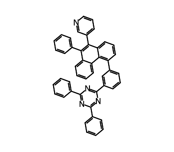 c1ccc(-c2nc(-c3ccccc3)nc(-c3cccc(-c4cccc5c(-c6cccnc6)c(-c6ccccc6)c6ccccc6c45)c3)n2)cc1